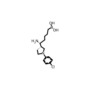 N[C@H](CCCCB(O)O)[C@H]1CCN(c2ccc(Cl)cc2)C1